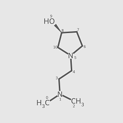 CN(C)CCN1CC[C@H](O)C1